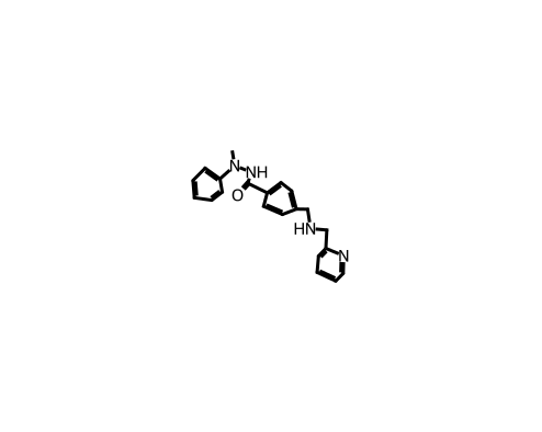 CN(NC(=O)c1ccc(CNCc2ccccn2)cc1)c1ccccc1